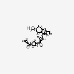 CN1CCc2nc3ccnn3c(N3CC(C(=O)N4CCN(C(=O)C5CC5)CC4)C3)c2CC1